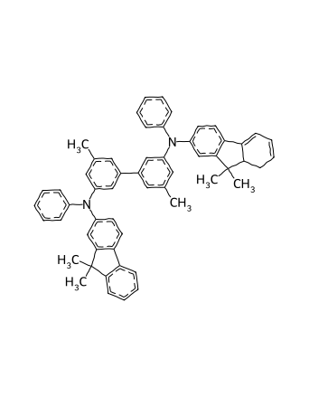 Cc1cc(-c2cc(C)cc(N(c3ccccc3)c3ccc4c(c3)C(C)(C)C3CC=CC=C43)c2)cc(N(c2ccccc2)c2ccc3c(c2)C(C)(C)c2ccccc2-3)c1